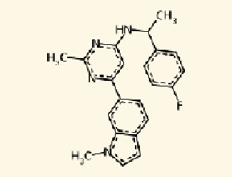 Cc1nc(NC(C)c2ccc(F)cc2)cc(-c2ccc3ccn(C)c3c2)n1